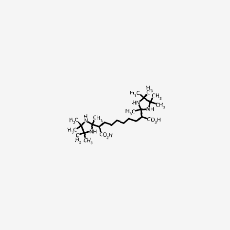 CC1(C(CCCCCCC(C(=O)O)C2(C)NC(C)(C)C(C)(C)N2)C(=O)O)NC(C)(C)C(C)(C)N1